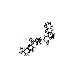 COc1ccc2nnc(C#N)c(CCC34CCC(N(C)c5ccc6c(n5)NC(=O)CO6)(CC3)CO4)c2n1